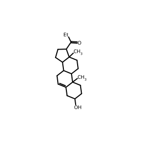 CCC(=O)C1CCC2C3CC=C4CC(O)CCC4(C)C3CCC12C